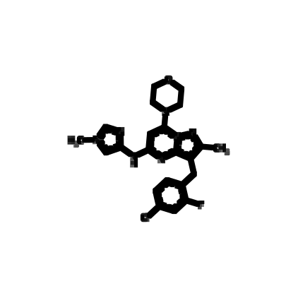 Cc1nn2c(N3CCOCC3)cc(Nc3cn(C)cn3)nc2c1Cc1ccc(Cl)cc1F